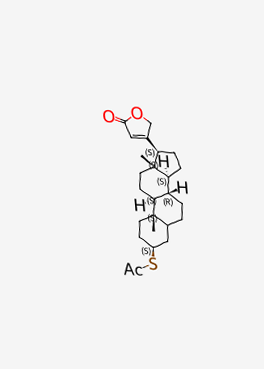 CC(=O)S[C@H]1CC[C@@]2(C)C(CC[C@H]3[C@@H]4CC[C@H](C5=CC(=O)OC5)[C@@]4(C)CC[C@@H]32)C1